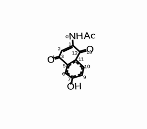 CC(=O)NC1=CC(=O)c2cc(O)ccc2C1=O